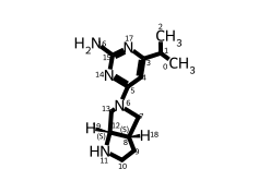 CC(C)c1cc(N2C[C@@H]3CCN[C@@H]3C2)nc(N)n1